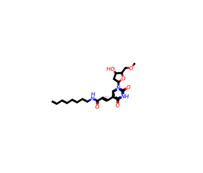 CCCCCCCCNC(=O)/C=C/c1cn(C2CC(O)C(COC)O2)c(=O)[nH]c1=O